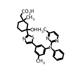 Cc1cc(-c2cnc(C3(O)CCCC(C)(CC(=O)O)C3)s2)cc(N(c2ccccc2)c2nccc(C)n2)c1